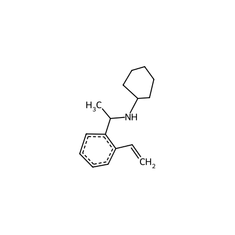 C=Cc1ccccc1C(C)NC1CCCCC1